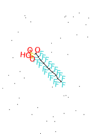 O=C(C(F)(F)C(F)(F)C(F)(F)C(F)(F)C(F)(F)C(F)(F)C(F)(F)C(F)(F)C(F)(F)F)S(=O)(=O)O